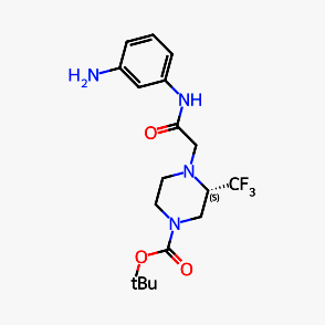 CC(C)(C)OC(=O)N1CCN(CC(=O)Nc2cccc(N)c2)[C@H](C(F)(F)F)C1